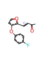 CC(=O)/C=C/c1occc1Oc1ccc(F)cc1